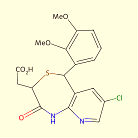 COc1cccc(C2SC(CC(=O)O)C(=O)Nc3ncc(Cl)cc32)c1OC